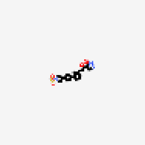 Cc1c(CCC(=O)C2C=CN=NC2=O)cccc1-c1ccc(C2CCN(S(C)(=O)=O)CC2)cc1